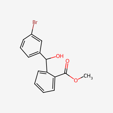 COC(=O)c1ccccc1C(O)c1cccc(Br)c1